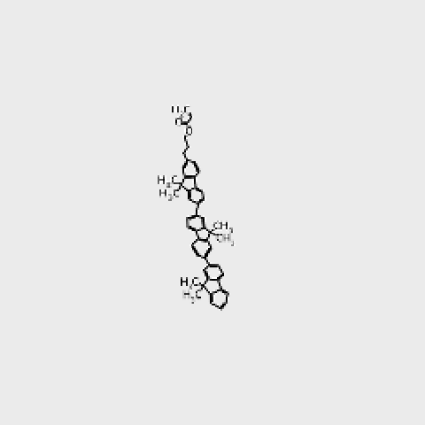 C=CC(=O)OCCCc1ccc2c(c1)C(C)(C)c1cc(-c3ccc4c(c3)C(C)(C)c3cc(-c5ccc6c(c5)C(C)(C)c5ccccc5-6)ccc3-4)ccc1-2